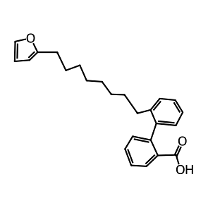 O=C(O)c1ccccc1-c1ccccc1CCCCCCCCc1ccco1